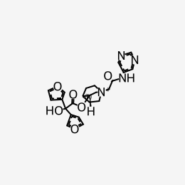 O=C(C[N+]12CCC(CC1)[C@@H](OC(=O)C(O)(c1ccoc1)c1ccoc1)C2)Nc1cncnc1